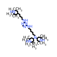 CC1(C)CC(CCCCNc2ncnc(NCCCCCCN(C3CC(C)(C)NC(C)(C)C3)C3CC(C)(C)NC(C)(C)C3)n2)CC(C)(C)N1